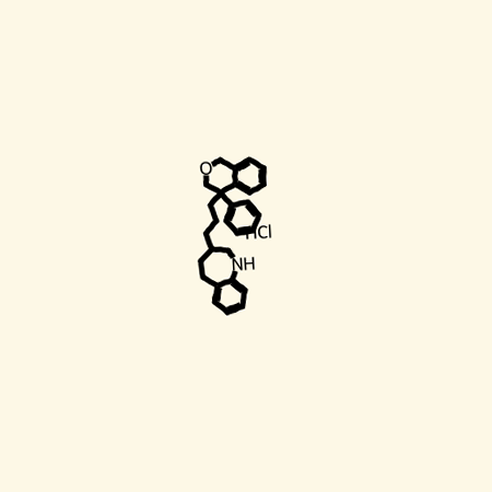 Cl.c1ccc(C2(CCCC3CCc4ccccc4NC3)COCc3ccccc32)cc1